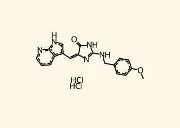 COc1ccc(CNC2=NC(=Cc3c[nH]c4ncccc34)C(=O)N2)cc1.Cl.Cl